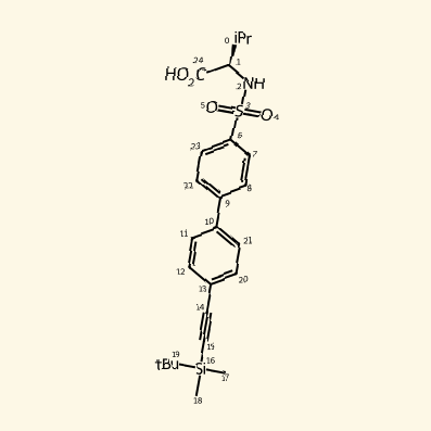 CC(C)[C@@H](NS(=O)(=O)c1ccc(-c2ccc(C#C[Si](C)(C)C(C)(C)C)cc2)cc1)C(=O)O